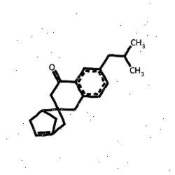 CC(C)Cc1ccc2c(c1)C(=O)CC1(CC3=CCC1C3)C2